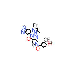 CCc1cc(C)n(-c2nc3c(c(=O)n2-c2ccc4c(c2)ncn4C)C[C@@H](C)N(C(=O)c2ccc(Br)c(C(F)(F)F)c2)C3)n1